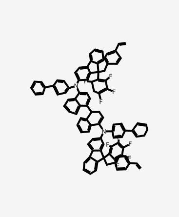 C=Cc1ccc(CC2(C3=C(F)C(F)=C(F)CC3F)c3ccccc3-c3ccc(N(c4ccc(-c5ccccc5)cc4)c4ccc(C5CC=C(N(c6ccc(C7=CCCC=C7)cc6)c6ccc7c(c6)C(Cc6ccc(C=C)cc6)(c6c(F)c(F)c(F)c(F)c6F)c6ccccc6-7)c6ccccc65)c5ccccc45)cc32)cc1